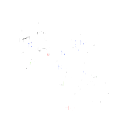 Oc1cc(-c2ncc3c(N4CC5CCC(C4)N5)nc(OC[C@@]45C[C@@H](F)CN4[C@@H]4CCC[C@@H]4C5)nc3c2F)c2c(Cl)cccc2c1